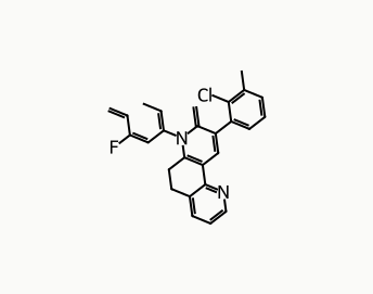 C=C/C(F)=C\C(=C/C)N1C(=C)C(c2cccc(C)c2Cl)=CC2=C1CCc1cccnc12